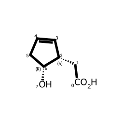 O=C(O)C[C@H]1C=CC[C@H]1O